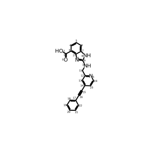 O=C(O)c1cccc2[nH]c(NCc3cc(C#Cc4ccccc4)ccn3)nc12